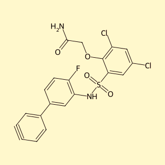 NC(=O)COc1c(Cl)cc(Cl)cc1S(=O)(=O)Nc1cc(-c2cc#ccc2)ccc1F